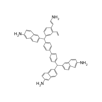 C=Cc1cc(C(c2ccc(-c3ccc(C(c4ccc5cc(N)ccc5c4)c4ccc5cc(N)ccc5c4)cc3)cc2)c2ccc3cc(N)ccc3c2)ccc1/C=C/N